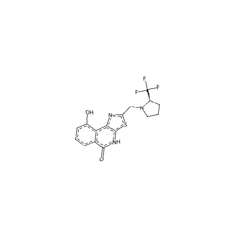 O=c1[nH]c2sc(CN3CCC[C@@H]3C(F)(F)F)nc2c2c(O)cccc12